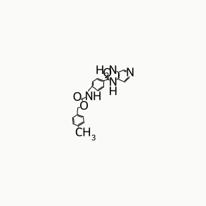 Cc1ccc(COC(=O)NCc2ccc(C(=O)Nc3ccncc3N)cc2)cc1